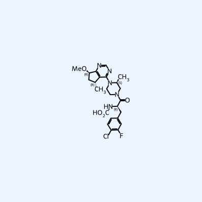 CO[C@@H]1C[C@@H](C)c2c1ncnc2N1CCN(C(=O)[C@@H](Cc2ccc(Cl)c(F)c2)NC(=O)O)C[C@@H]1C